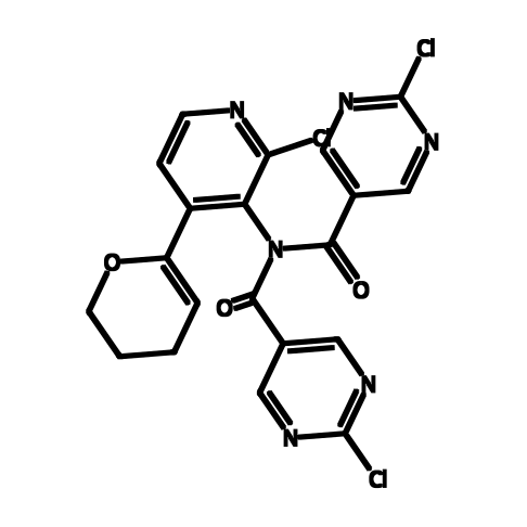 O=C(c1cnc(Cl)nc1)N(C(=O)c1cnc(Cl)nc1)c1c(C2=CCCCO2)ccnc1Cl